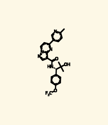 Cc1ccc(-c2ccn3ncc(C(=O)N[C@@H](c4ccc(OC(F)(F)F)cc4)C(C)(C)O)c3n2)cn1